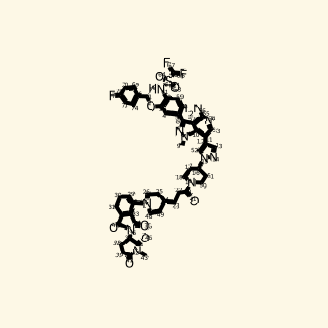 C[C@H](Oc1cc(-c2nn(C)c3c(-c4cnn(C5CCN(C(=O)CCC6CCN(c7cccc8c7C(=O)N(C7CCC(=O)N(C)C7=O)C8=O)CC6)CC5)c4)cnc(N)c23)ccc1NS(=O)(=O)C(F)F)c1ccc(F)cc1